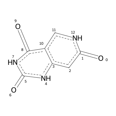 O=c1cc2[nH]c(=O)[nH]c(=O)c2c[nH]1